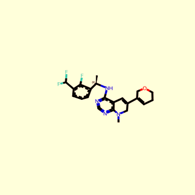 C[C@@H](Nc1ncnc2c1C=C(C1=CCCOC1)CN2C)c1cccc(C(F)F)c1F